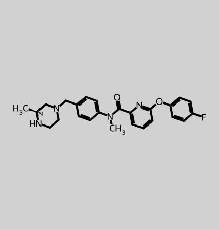 C[C@H]1CN(Cc2ccc(N(C)C(=O)c3cccc(Oc4ccc(F)cc4)n3)cc2)CCN1